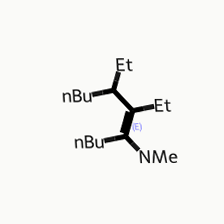 CCCC/C(NC)=C(/CC)C(CC)CCCC